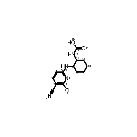 N#Cc1ccc(NC2CCCCC2NC(=O)O)nc1Cl